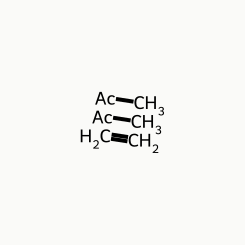 C=C.CC(C)=O.CC(C)=O